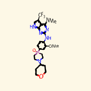 CNc1nc(Nc2ccc(P3(=O)CCN(C4CCOCC4)CC3)cc2OC)nc2[nH]cc(C(F)(F)F)c12